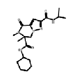 CC(C)NC(=O)c1cc2n(n1)CC(C)(C(=O)NC1CCCCC1)N(C)C2=O